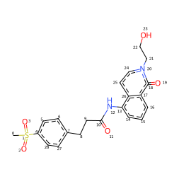 CS(=O)(=O)c1ccc(CCC(=O)Nc2cccc3c(=O)n(CCO)ccc23)cc1